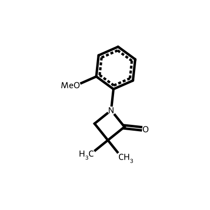 COc1ccccc1N1CC(C)(C)C1=O